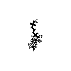 CC(C)(C=O)CCCC(C)(C)[C](=O)[Mo](=[O])(=[O])[O]S(=O)(=O)C(F)(F)F